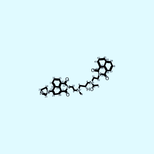 CC(O)N(CCCN(C)CCN1C(=O)c2cccc3c(N4C=NCC4)ccc(c23)C1=O)CCN1C(=O)c2cccc3cccc(c23)C1=O